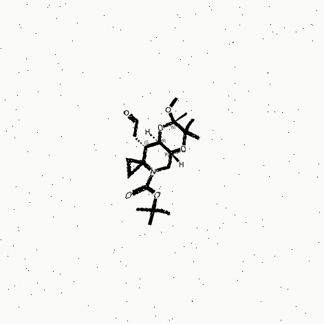 CO[C@@]1(C)O[C@@H]2[C@@H](CC=O)C3(CC3)N(C(=O)OC(C)(C)C)C[C@H]2OC1(C)C